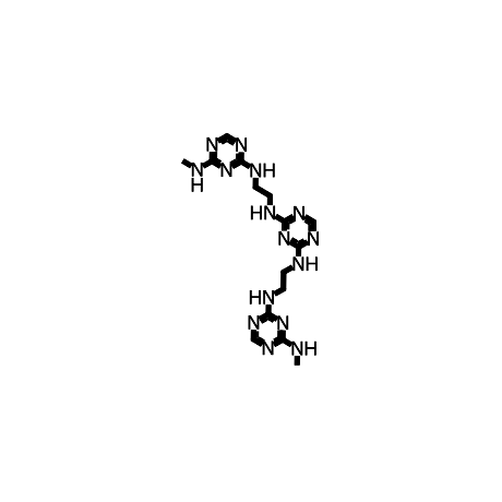 CNc1ncnc(NCCNc2ncnc(NCCNc3ncnc(NC)n3)n2)n1